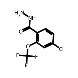 NNC(=O)c1ccc(Cl)cc1OC(F)(F)F